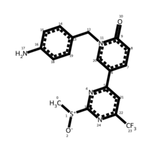 C[S+]([O-])c1nc(-c2ccc(=O)n(Cc3ccc(N)cc3)c2)cc(C(F)(F)F)n1